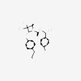 CCC[C@@H](NC(=O)N1C(=O)C(CC)(CC)[C@@H]1Oc1ccc(CCO)cc1)c1ccc(C)cc1